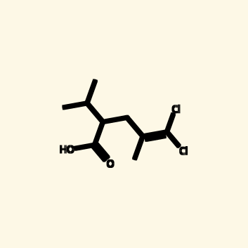 CC(CC(C(=O)O)C(C)C)=C(Cl)Cl